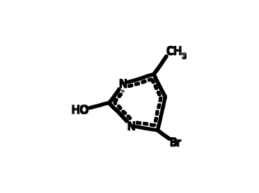 Cc1cc(Br)nc(O)n1